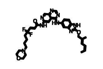 C/C=C\C=C(/C)COc1nc2cc(Nc3ncnc4cnc(NC(=O)/C=C/C(F)(F)CCCCN5CCOCC5)cc34)ccc2[nH]1